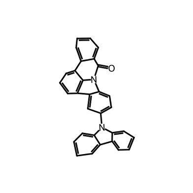 O=c1c2ccccc2c2cccc3c4cc(-n5c6ccccc6c6ccccc65)ccc4n1c23